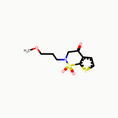 COCCCN1CC(=O)c2ccsc2S1(=O)=O